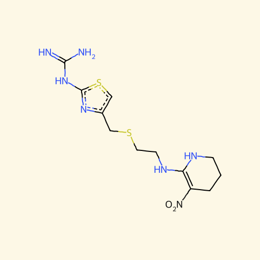 N=C(N)Nc1nc(CSCCNC2=C([N+](=O)[O-])CCCN2)cs1